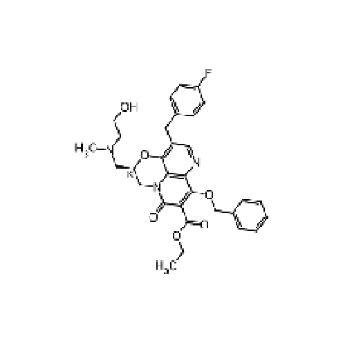 CCOC(=O)c1c(OCc2ccccc2)c2ncc(Cc3ccc(F)cc3)c3c2n(c1=O)C[C@@H](CN(C)CCO)O3